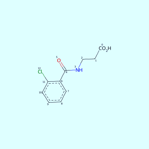 O=C(O)CCNC(=O)c1ccc[c]c1Cl